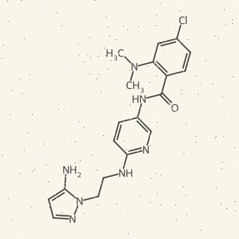 CN(C)c1cc(Cl)ccc1C(=O)Nc1ccc(NCCn2nccc2N)nc1